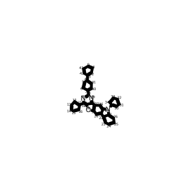 c1ccc(-c2ccc(-c3nc(-c4ccccc4)c4oc5cc6c7ccccc7n(-c7ccccc7)c6cc5c4n3)cc2)cc1